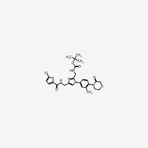 Cc1cc(-n2cc(CNC(=O)c3ccc(Cl)s3)nc2CNC(=O)OC(C)(C)C)ccc1N1CCOCC1=O